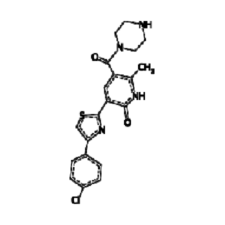 Cc1[nH]c(=O)c(-c2nc(-c3ccc(Cl)cc3)cs2)cc1C(=O)N1CCNCC1